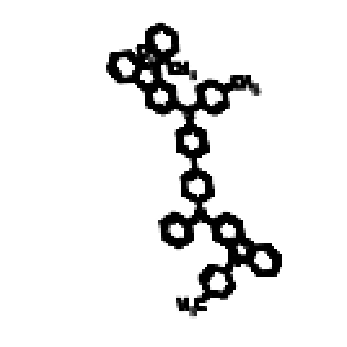 CC1C=CC(N(c2ccc(C3=CCC(N(c4ccccc4)c4ccc5c6c(n(C7C=CC(C)CC7)c5c4)CCC=C6)C=C3)cc2)c2ccc3c(c2)N(C2(C)C=CCCC2)C2(C)CCC=CC32)=CC1